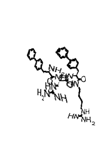 N=C(N)NCCCCNC(=O)[C@H](Cc1ccc(-c2ccccc2)cc1)NC(=O)[C@H](CNC(=N)N)NC(=O)[C@@H](N)Cc1ccc(-c2ccccc2)cc1